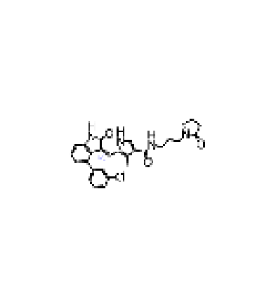 Cc1c(C(=O)NCCCN2CCCC2=O)c[nH]c1/C=C1\C(=O)Nc2cccc(-c3cccc(Cl)c3)c21